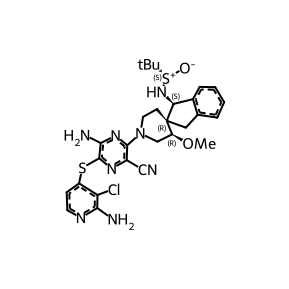 CO[C@H]1CN(c2nc(N)c(Sc3ccnc(N)c3Cl)nc2C#N)CC[C@@]12Cc1ccccc1[C@@H]2N[S@+]([O-])C(C)(C)C